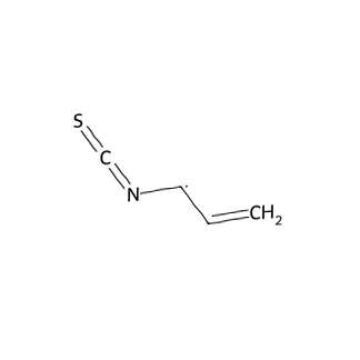 C=C[CH]N=C=S